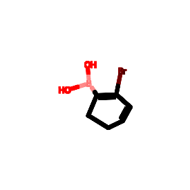 OB(O)C1=C(Br)C=CCC1